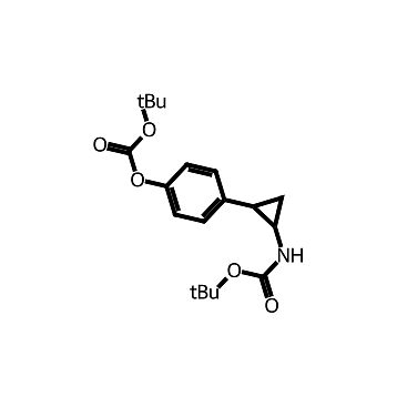 CC(C)(C)OC(=O)NC1CC1c1ccc(OC(=O)OC(C)(C)C)cc1